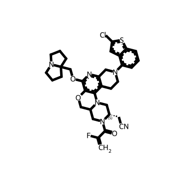 C=C(F)C(=O)N1CC2COc3c(OCC45CCCN4CCC5)nc4c(c3N2C[C@@H]1CC#N)CCN(c1cccc2sc(Cl)cc12)C4